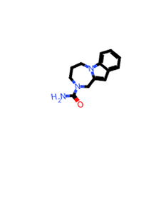 NC(=O)N1CCCn2c(cc3ccccc32)C1